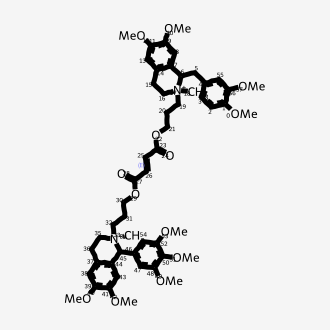 COc1ccc(CC2c3cc(OC)c(OC)cc3CC[N+]2(C)CCCOC(=O)/C=C/C(=O)OCCC[N+]2(C)CCc3cc(OC)c(OC)cc3C2c2cc(OC)c(OC)c(OC)c2)cc1OC